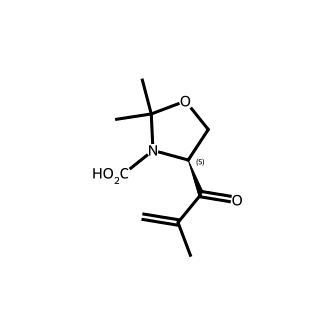 C=C(C)C(=O)[C@@H]1COC(C)(C)N1C(=O)O